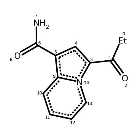 CCC(=O)c1cc(C(N)=O)c2ccccn12